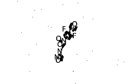 O=C1O[C@@H](/C=N/c2ccon2)CN1c1cc(F)c(N2CCOCC2)c(F)c1